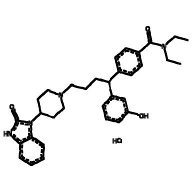 CCN(CC)C(=O)c1ccc(C(CCCN2CCC(n3c(=O)[nH]c4ccccc43)CC2)c2cccc(O)c2)cc1.Cl